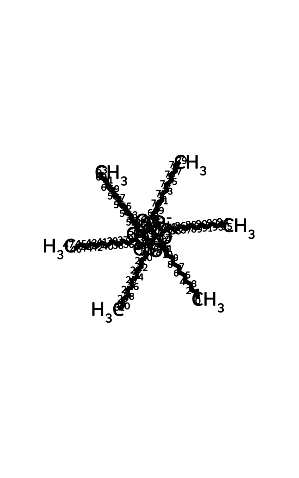 CCCCCCCCCCCCC[S+]([O-])c1c([S+]([O-])CCCCCCCCCCCCC)c([S+]([O-])CCCCCCCCCCCCC)c([S+]([O-])CCCCCCCCCCCCC)c([S+]([O-])CCCCCCCCCCCCC)c1[S+]([O-])CCCCCCCCCCCCC